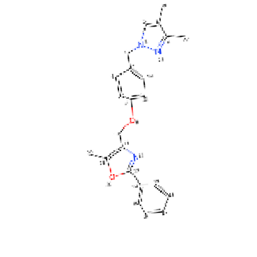 Cc1cn(Cc2ccc(OCc3nc(-c4ccccc4)oc3C)cc2)nc1C